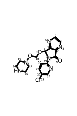 O=C1c2nccnc2C(OCON2CCNCC2)N1c1ccc(Cl)cn1